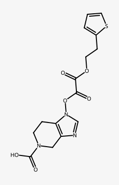 O=C(OCCc1cccs1)C(=O)On1cnc2c1CCN(C(=O)O)C2